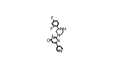 Cn1c(N2CCNC(c3ccc(F)cc3F)C2)nc(-c2ccncc2)cc1=O